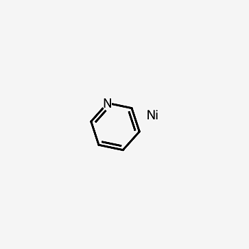 [Ni].c1ccncc1